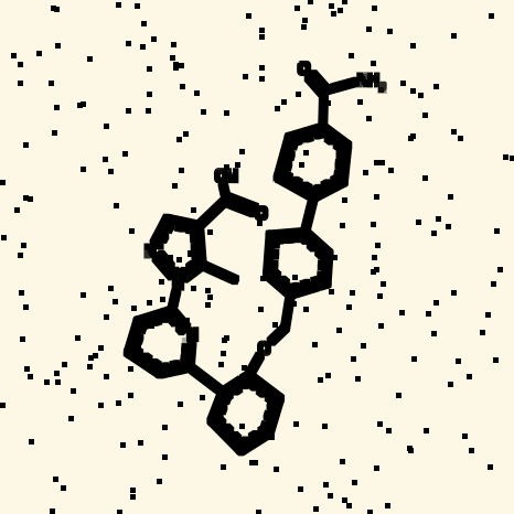 Cc1c(C(=O)O)cnn1-c1cccc(-c2ccccc2OCc2ccc(-c3ccc(C(N)=O)cc3)cc2)n1